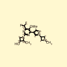 COc1c(-c2cnn(C3CN(C)C3)c2)nc(N2C[C@@H](O)[C@@H]2C)nc1C(F)F